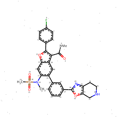 CNC(=O)c1c(-c2ccc(F)cc2)oc2cc(N(C)S(C)(=O)=O)c(-c3cccc(-c4nc5c(o4)CNCC5)c3)cc12